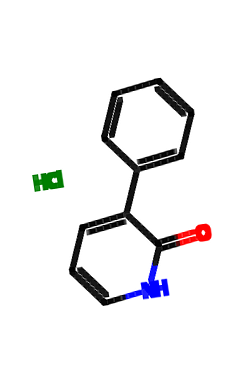 Cl.O=c1[nH]cccc1-c1ccccc1